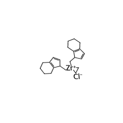 C1=CC([CH2][Zr+]2([CH2]C3C=CC4=C3CCCC4)[CH2][CH2]2)C2=C1CCCC2.[Cl-]